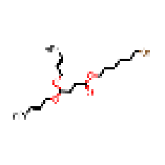 CCC/C=C/COC(CCC(=O)OCCCCCCBr)OC/C=C/CCC